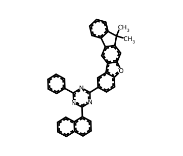 CC1(C)c2ccccc2-c2cc3c(cc21)oc1ccc(-c2nc(-c4ccccc4)nc(-c4cccc5ccccc45)n2)cc13